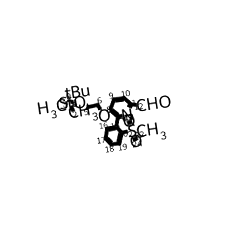 CC(C)(C)[Si](C)(C)OCCOc1ccc(C=O)nc1-c1ccccc1S(C)(=O)=O